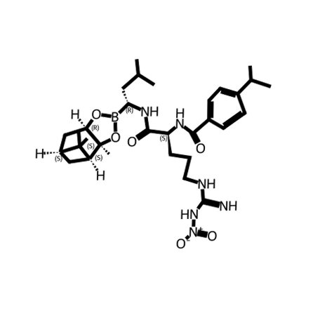 CC(C)C[C@H](NC(=O)[C@H](CCCNC(=N)N[N+](=O)[O-])NC(=O)c1ccc(C(C)C)cc1)B1O[C@@H]2C[C@@H]3C[C@@H](C3(C)C)[C@]2(C)O1